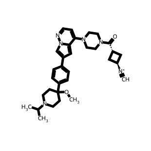 C#[N+][C@H]1C[C@H](C(=O)N2CCN(c3ccnn4cc(-c5ccc(C6(OC)CCN(C(C)C)CC6)cc5)cc34)CC2)C1